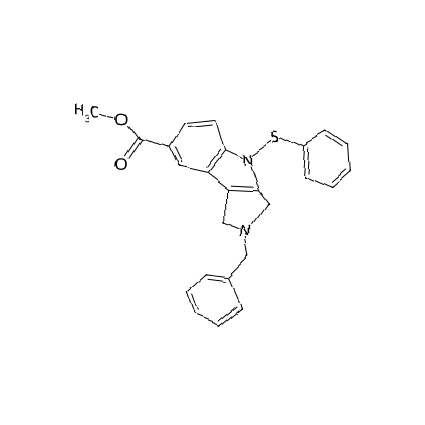 COC(=O)c1ccc2c(c1)c1c(n2Sc2ccccc2)CN(Cc2ccccc2)C1